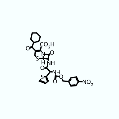 O=C(NC(C(=O)NC1C(=O)N2C(C(=O)O)=C(C(=O)C3CCCCC3)CS[C@@H]12)c1cccs1)OCc1ccc([N+](=O)[O-])cc1